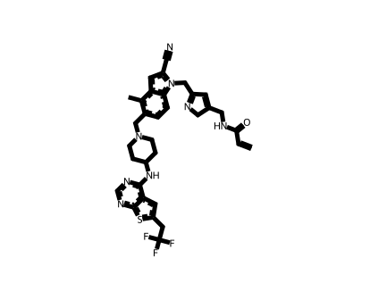 C=CC(=O)NCC1=CC(Cn2c(C#N)cc3c(C)c(CN4CCC(Nc5ncnc6sc(CC(F)(F)F)cc56)CC4)ccc32)=NC1